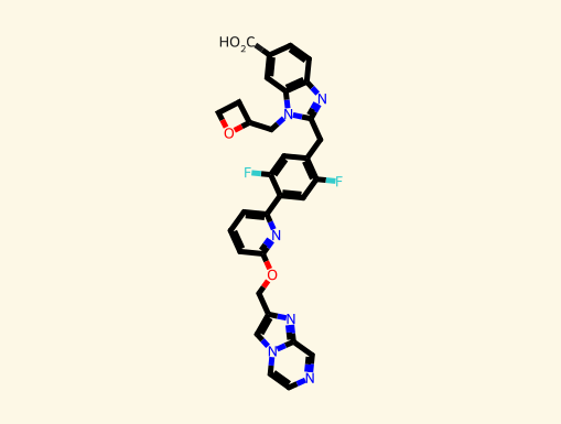 O=C(O)c1ccc2nc(Cc3cc(F)c(-c4cccc(OCc5cn6ccncc6n5)n4)cc3F)n(CC3CCO3)c2c1